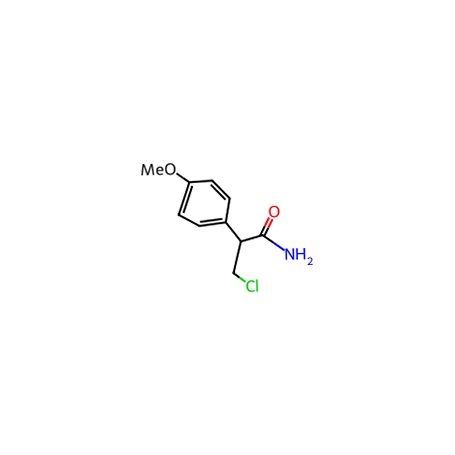 COc1ccc(C(CCl)C(N)=O)cc1